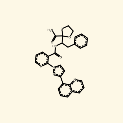 NC(=O)C1(C(Cc2ccccc2)NC(=O)c2cccnc2-n2ccc(-c3cccc4cccnc34)n2)OCCO1